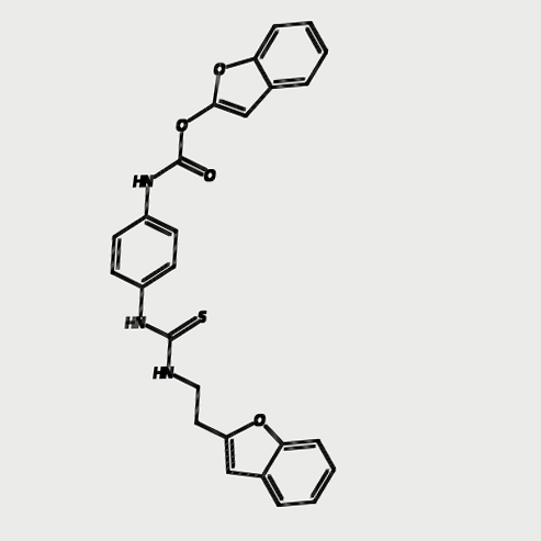 O=C(Nc1ccc(NC(=S)NCCc2cc3ccccc3o2)cc1)Oc1cc2ccccc2o1